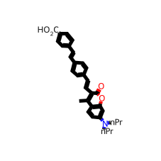 CCCN(CCC)c1ccc2c(C)c(/C=C/c3ccc(/C=C/c4ccc(C(=O)O)cc4)cc3)c(=O)oc2c1